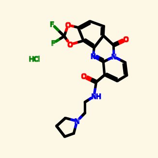 Cl.O=C(NCCN1CCCC1)c1cccn2c(=O)c3ccc4c(c3nc12)OC(F)(F)O4